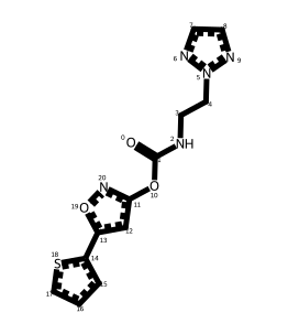 O=C(NCCn1nccn1)Oc1cc(-c2cccs2)on1